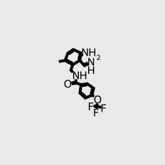 Cc1ccc(N)c(C=N)c1CNC(=O)c1ccc(OC(F)(F)F)cc1